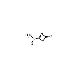 N[S+]([O-])C1=NC(=O)C1